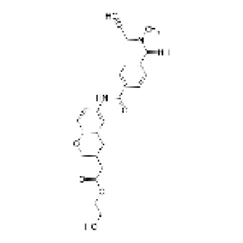 C#CCN(C)C(=N)c1ccc(C(=O)Nc2ccc3c(c2)CC(CC(=O)OCCO)CO3)cc1